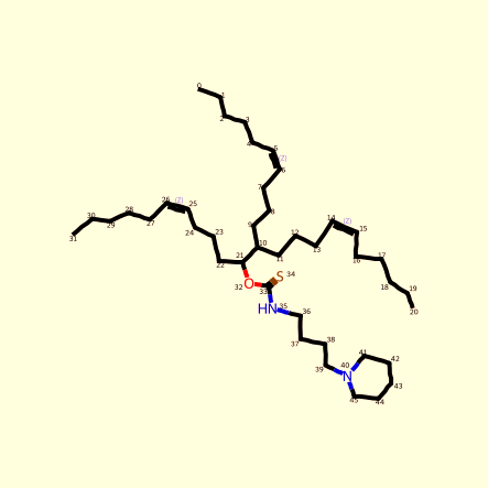 CCCCC/C=C\CCCC(CCC/C=C\CCCCC)C(CCC/C=C\CCCCC)OC(=S)NCCCCN1CCCCC1